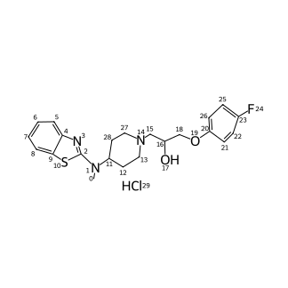 CN(c1nc2ccccc2s1)C1CCN(CC(O)COc2ccc(F)cc2)CC1.Cl